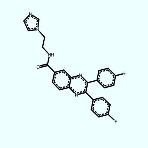 O=C(NCCn1ccnc1)c1ccc2nc(-c3ccc(F)cc3)c(-c3ccc(F)cc3)nc2c1